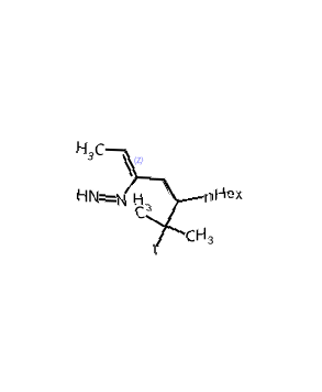 C/C=C(/CC(CCCCCC)C(C)(C)I)N=N